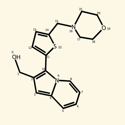 OCc1cc2ccccn2c1-c1ccc(CN2CCOCC2)s1